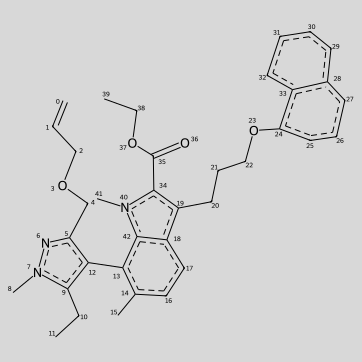 C=CCOCc1nn(C)c(CC)c1-c1c(C)ccc2c(CCCOc3cccc4ccccc34)c(C(=O)OCC)n(C)c12